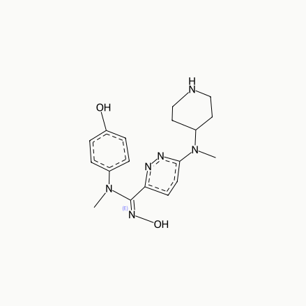 CN(/C(=N/O)c1ccc(N(C)C2CCNCC2)nn1)c1ccc(O)cc1